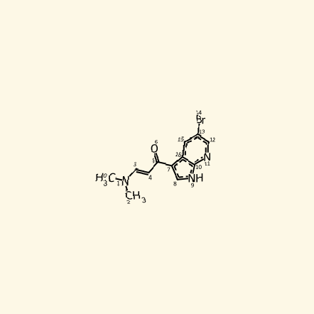 CN(C)/C=C/C(=O)c1c[nH]c2ncc(Br)cc12